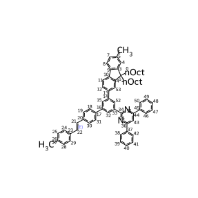 CCCCCCCCC1(CCCCCCCC)c2cc(C)ccc2-c2ccc(-c3cc(-c4ccc(/C=C/c5ccc(C)cc5)cc4)cc(-c4nc(-c5ccccc5)cc(-c5ccccc5)n4)c3)cc21